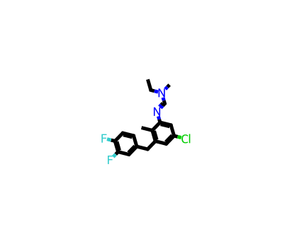 CCN(C)C=Nc1cc(Cl)cc(Cc2ccc(F)c(F)c2)c1C